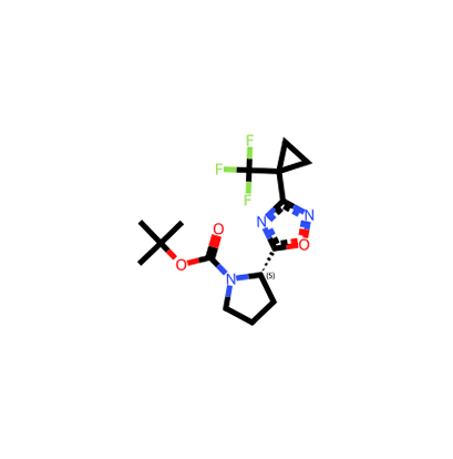 CC(C)(C)OC(=O)N1CCC[C@H]1c1nc(C2(C(F)(F)F)CC2)no1